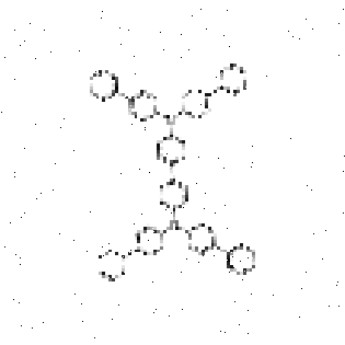 C1=CCCC(c2ccc(N(c3ccc(-c4ccccc4)cc3)c3ccc(-c4ccc(N(C5=CC=C(c6ccccc6)CC5)c5ccc(-c6ccccc6)cc5)cc4)cc3)cc2)=C1